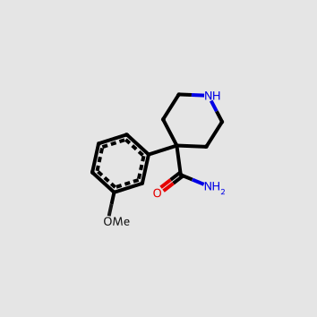 COc1cccc(C2(C(N)=O)CCNCC2)c1